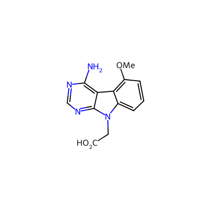 COc1cccc2c1c1c(N)ncnc1n2CC(=O)O